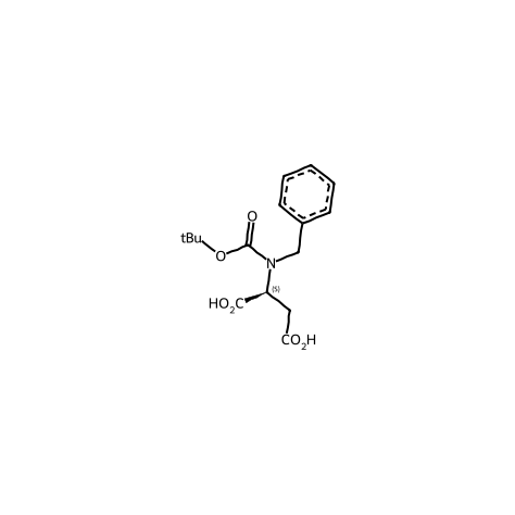 CC(C)(C)OC(=O)N(Cc1ccccc1)[C@@H](CC(=O)O)C(=O)O